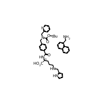 CC(C)(C)OC(=O)N(Cc1ccc(C(=O)N[C@@H](CCCNCc2ccc[nH]2)C(=O)O)cc1)Cc1ccccn1.NCc1cccc2ccccc12